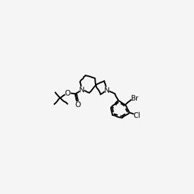 CC(C)(C)OC(=O)N1CCCC2(CN(Cc3cccc(Cl)c3Br)C2)C1